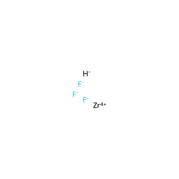 [F-].[F-].[F-].[H-].[Zr+4]